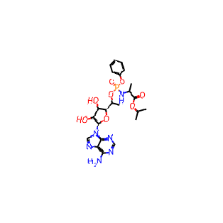 CC(C)OC(=O)C(C)NP(=O)(Oc1ccccc1)OC(C)[C@H]1O[C@@H](n2cnc3c(N)ncnc32)C(O)C1O